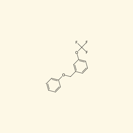 FC(F)(F)Oc1cccc(COc2c[c]ccc2)c1